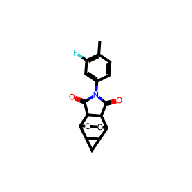 Cc1ccc(N2C(=O)C3C4CCC(C5CC54)C3C2=O)cc1F